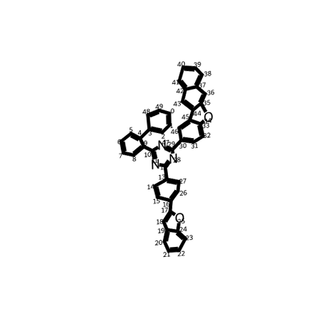 c1ccc(-c2ccccc2-c2nc(-c3ccc(-c4cc5ccccc5o4)cc3)nc(-c3ccc4oc5cc6ccccc6cc5c4c3)n2)cc1